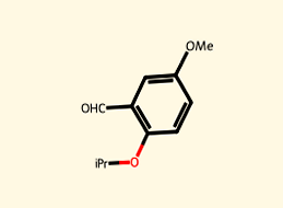 COc1ccc(OC(C)C)c(C=O)c1